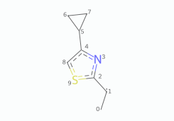 C[CH]c1nc(C2CC2)cs1